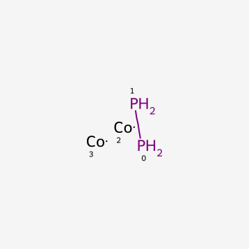 PP.[Co].[Co]